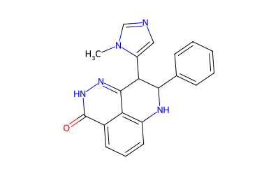 Cn1cncc1C1c2n[nH]c(=O)c3cccc(c23)NC1c1ccccc1